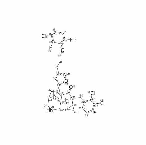 O=C(C1=C(c2cc(CCCOc3c(F)ccc(Cl)c3F)no2)CC2CNC[C@H]1N2)N(Cc1cccc(Cl)c1Cl)C1CC1